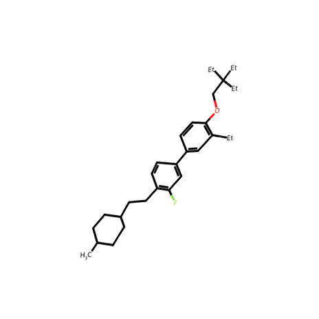 CCc1cc(-c2ccc(CCC3CCC(C)CC3)c(F)c2)ccc1OCC(CC)(CC)CC